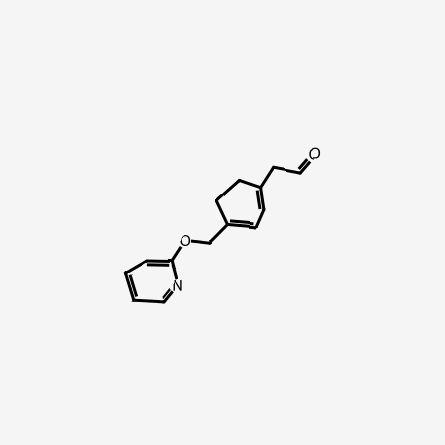 O=CCC1=CC=C(COc2ccccn2)CC1